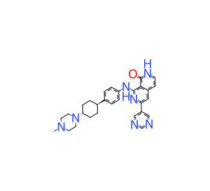 CN1CCN([C@H]2CC[C@H](c3ccc(Nc4nc(-c5cncnc5)cc5cc[nH]c(=O)c45)cc3)CC2)CC1